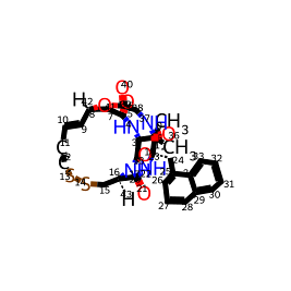 CC(C)C1NC(=O)C[C@H]2/C=C/CCSSC[C@@H](NC1=O)C(=O)N[C@@H](Cc1cccc3ccccc13)C(=O)NCC(=O)O2